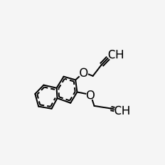 C#CCOc1cc2ccccc2cc1OCC#C